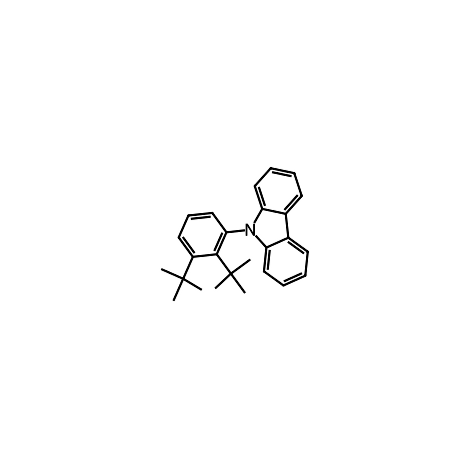 CC(C)(C)c1cccc(-n2c3ccccc3c3ccccc32)c1C(C)(C)C